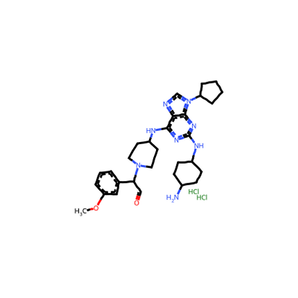 COc1cccc(C(C=O)N2CCC(Nc3nc(NC4CCC(N)CC4)nc4c3ncn4C3CCCC3)CC2)c1.Cl.Cl